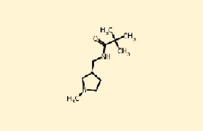 CN1CC[C@H](CNC(=O)C(C)(C)C)C1